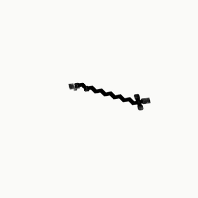 CCOCCCCCCCCCCS(=O)(=O)O